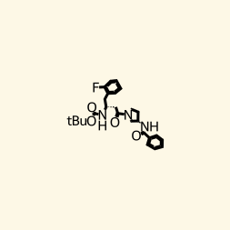 CC(C)(C)OC(=O)N[C@@H](CC(=O)N1CC[C@H](NC(=O)c2ccccc2)C1)Cc1ccccc1F